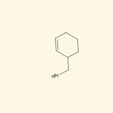 CCCCC1C=CCCC1